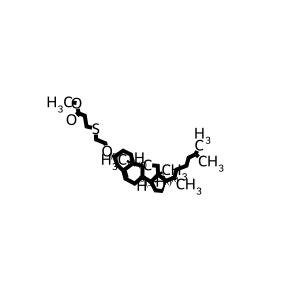 COC(=O)CCSCCO[C@H]1CC[C@@]2(C)C(=CC[C@H]3[C@@H]4CC[C@H]([C@H](C)CCCC(C)C)[C@@]4(C)CC[C@@H]32)C1